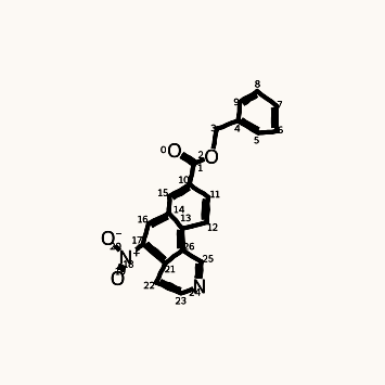 O=C(OCc1ccccc1)c1ccc2c(c1)cc([N+](=O)[O-])c1ccncc12